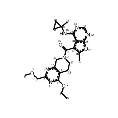 CCOc1nc(COC)nc2c1CCN(C(=O)c1c(C)oc3ncnc(NC4(C)CC4)c13)C2